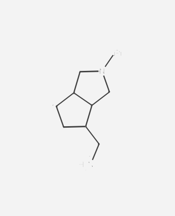 CC(C)N1CC2CCC(CN)C2C1